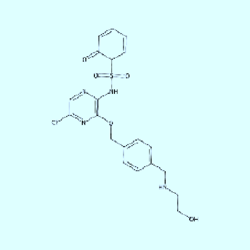 O=C1C=CC=CC1S(=O)(=O)Nc1ncc(Cl)nc1OCc1ccc(CNCCO)cc1